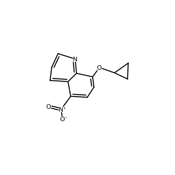 O=[N+]([O-])c1ccc(OC2CC2)c2ncccc12